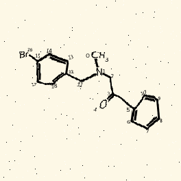 CN(CC(=O)c1ccccc1)Cc1ccc(Br)cc1